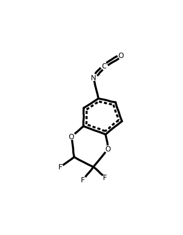 O=C=Nc1ccc2c(c1)OC(F)C(F)(F)O2